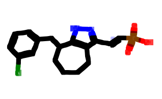 O=S(=O)(O)/C=C/c1n[nH]c2c1CCCCC2Cc1cccc(Cl)c1